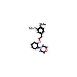 COc1ccc(CCOC2CCCCC2N2CCOCC2)cc1OC